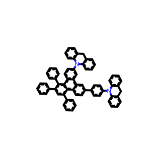 c1ccc(-c2cc(-c3ccccc3)c3c4ccc(-c5ccc(N6c7ccccc7Cc7ccccc76)cc5)cc4c4cc(N5c6ccccc6Cc6ccccc65)ccc4c3c2-c2ccccc2)cc1